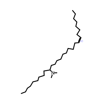 CCCCCCC/C=C\CCCCCCCCCC(CCCCCCCCC)N(C)C